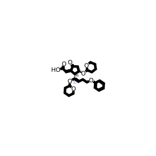 O=C(O)C=C1C(=O)C[C@@H](OC2CCCCO2)[C@@H]1/C(=C\CCOc1ccccc1)OC1CCCCO1